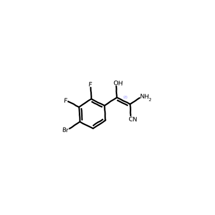 N#C/C(N)=C(/O)c1ccc(Br)c(F)c1F